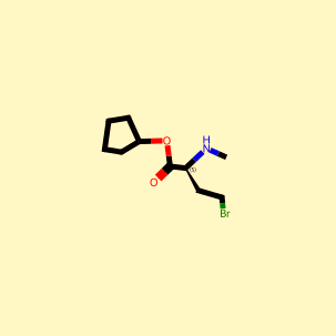 CN[C@@H](CCBr)C(=O)OC1CCCC1